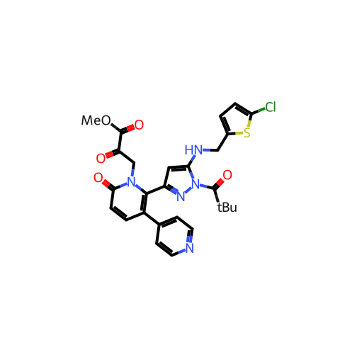 COC(=O)C(=O)Cn1c(-c2cc(NCc3ccc(Cl)s3)n(C(=O)C(C)(C)C)n2)c(-c2ccncc2)ccc1=O